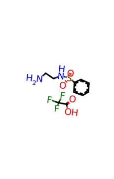 NCCNS(=O)(=O)c1ccccc1.O=C(O)C(F)(F)F